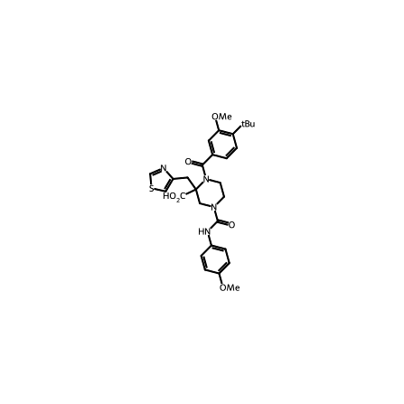 COc1ccc(NC(=O)N2CCN(C(=O)c3ccc(C(C)(C)C)c(OC)c3)C(Cc3cscn3)(C(=O)O)C2)cc1